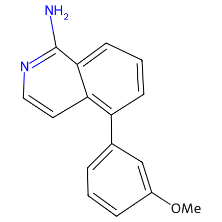 COc1cccc(-c2cccc3c(N)nccc23)c1